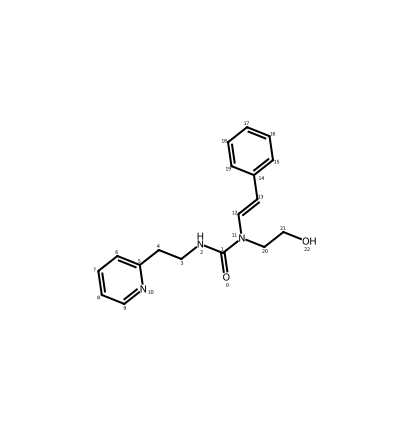 O=C(NCCc1ccccn1)N(C=Cc1ccccc1)CCO